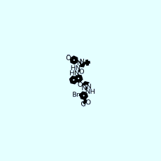 COC(=O)c1cc(Br)cc(Nc2nccc(Oc3ccc(NC(=O)Nc4cc(C(C)(C)C)nn4-c4ccc(OC)cc4)c4ccccc34)n2)c1